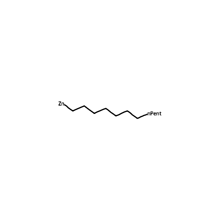 CCCCCCCCCCC[CH2][Zn]